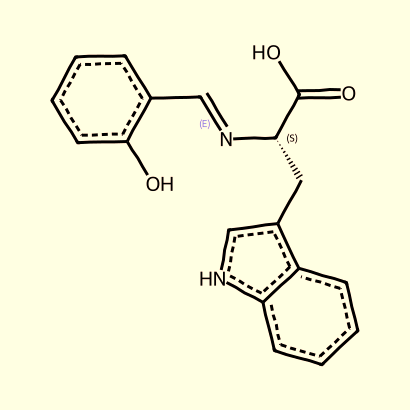 O=C(O)[C@H](Cc1c[nH]c2ccccc12)/N=C/c1ccccc1O